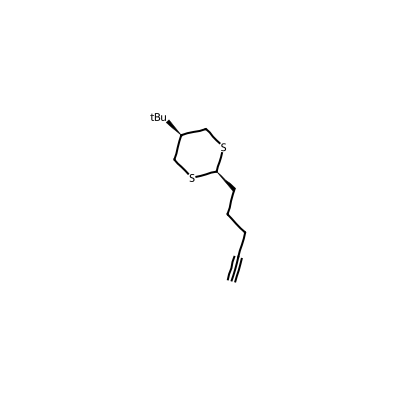 C#CCCC[C@H]1SC[C@@H](C(C)(C)C)CS1